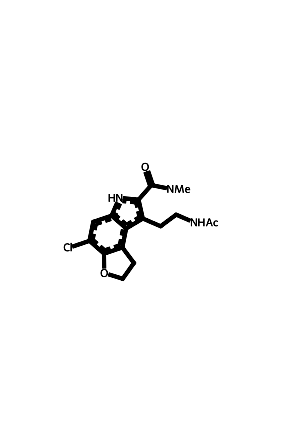 CNC(=O)c1[nH]c2cc(Cl)c3c(c2c1CCNC(C)=O)CCO3